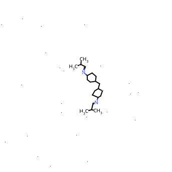 CC(C)C=NC1CCC(CC2CCC(N=CC(C)C)CC2)CC1